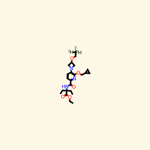 [2H]C([2H])(F)COC1CN(c2ccc(C(=O)NC(CC)(CC)C(=O)OCC)nc2OCC2CC2)C1